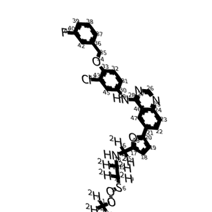 [2H]C([2H])([2H])OOSC([2H])([2H])C([2H])([2H])NC([2H])([2H])c1ccc(-c2ccc3ncnc(Nc4ccc(OCc5cccc(F)c5)c(Cl)c4)c3c2)o1